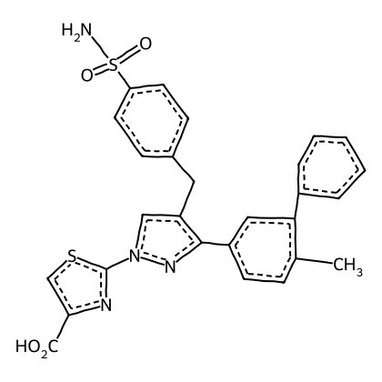 Cc1ccc(-c2nn(-c3nc(C(=O)O)cs3)cc2Cc2ccc(S(N)(=O)=O)cc2)cc1-c1ccccc1